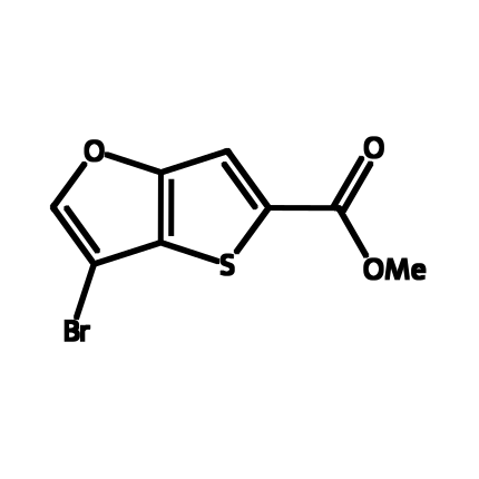 COC(=O)c1cc2occ(Br)c2s1